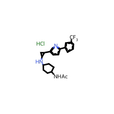 CC(=O)NC1CCC(NC2CC2c2ccc(-c3cccc(C(F)(F)F)c3)nc2)CC1.Cl